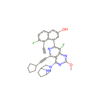 C#Cc1c(F)ccc2cc(O)cc(-c3nc(C#CC4CCCC4)c4c(N5CC6CCC(C5)N6)nc(OC)nc4c3F)c12